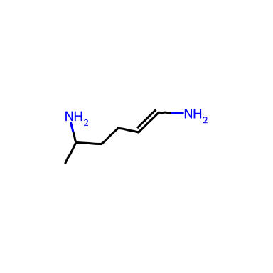 CC(N)CCC=CN